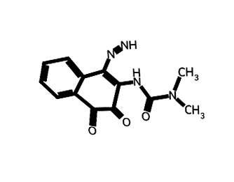 CN(C)C(=O)NC1=C(N=N)c2ccccc2C(=O)C1=O